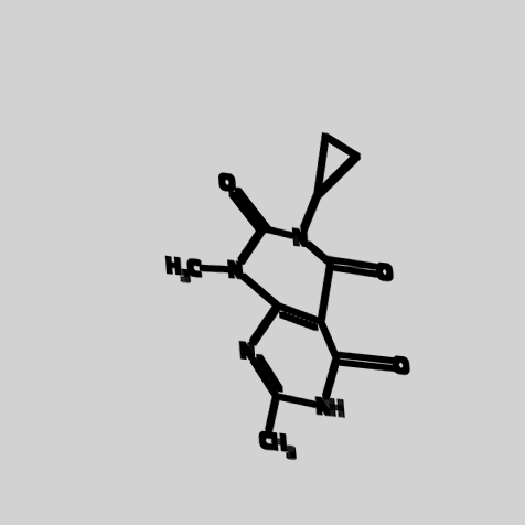 Cc1nc2c(c(=O)[nH]1)c(=O)n(C1CC1)c(=O)n2C